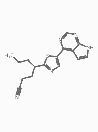 CCC[C@H](CCC#N)c1ncc(-c2ncnc3[nH]ccc23)s1